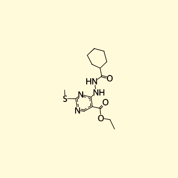 CCOC(=O)c1cnc(SC)nc1NNC(=O)C1CCCCC1